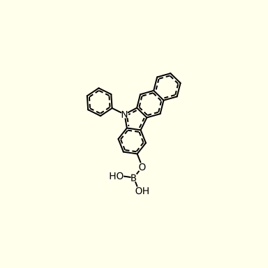 OB(O)Oc1ccc2c(c1)c1cc3ccccc3cc1n2-c1ccccc1